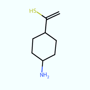 C=C(S)C1CCC(N)CC1